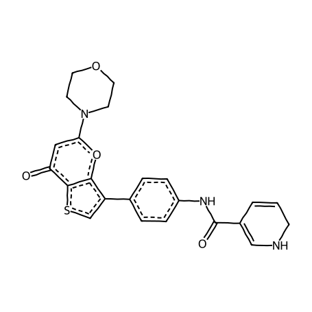 O=C(Nc1ccc(-c2csc3c(=O)cc(N4CCOCC4)oc23)cc1)C1=CNCC=C1